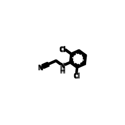 N#CCNc1c(Cl)cccc1Cl